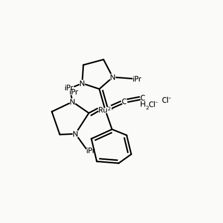 C=[C]=[Ru+2](=[C]1N(C(C)C)CCN1C(C)C)(=[C]1N(C(C)C)CCN1C(C)C)[c]1ccccc1.[Cl-].[Cl-]